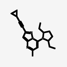 CCC1CCC(CC)N1c1cc(C)nc2cc(C#CC3CC3)nn12